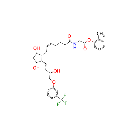 Cc1ccccc1OC(=O)CNC(=O)CCC/C=C\C[C@@H]1[C@@H](/C=C/[C@@H](O)COc2cccc(C(F)(F)F)c2)[C@H](O)C[C@@H]1O